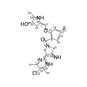 CC1=N/C(=C2\CN(C(=O)c3ccc(F)cc3O/C=C3\CC(O)C(C)N3)CC2=N)NC(C)=C1Cl